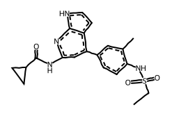 CCS(=O)(=O)Nc1ccc(-c2cc(NC(=O)C3CC3)nc3[nH]ccc23)cc1C